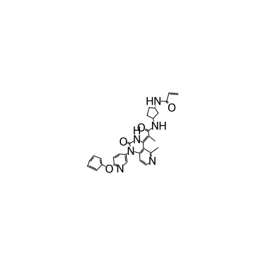 C=CC(=O)N[C@H]1CCC(NC(=O)/C(C)=C2\NC(=O)N(c3ccc(Oc4ccccc4)nc3)c3ccnc(C)c32)C1